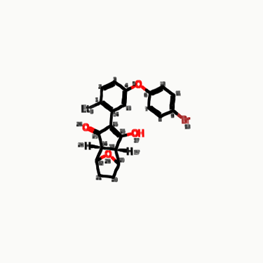 CCc1ccc(Oc2ccc(Br)cc2)cc1C1=C(O)[C@@H]2C3CCC(O3)[C@@H]2C1=O